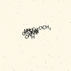 Cc1ccc(Cn2nnc(NC(=O)c3cc(C(N)=O)c4ccccc4n3)c2C)cc1